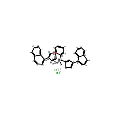 Cl.Cl.[CH3][Hf](=[GeH2])([C]1=CC(c2cccc3ccccc23)=CC1)([C]1=CC(c2cccc3ccccc23)=CC1)[c]1ccccc1